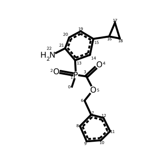 CP(=O)(C(=O)OCc1ccccc1)c1cc(C2CC2)ccc1N